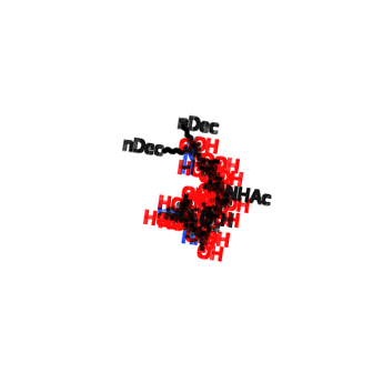 CCCCCCCCCCCCC/C=C/[C@@H](O)[C@H](CO[C@@H]1OC(CO)[C@@H](O[C@@H]2OC(CO)[C@H](O)[C@H](O[C@@H]3OC(CO)[C@@H](O[C@@H]4OC(CO)[C@H](O)[C@H](O[C@]5(C(=O)O)CC(O)[C@@H](NC(=O)CO)C([C@H](O)[C@@H](CO)O[C@]6(C(=O)O)CC(O)[C@@H](NC(=O)CO)C([C@H](O)[C@H](O)CO)O6)O5)C4O)[C@H](O)C3NC(C)=O)C2O)[C@H](O)C1O)NC(=O)CCCCCCCCCCCCCCC